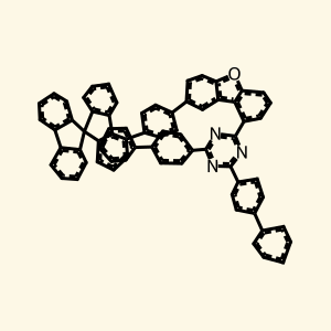 c1ccc(-c2ccc(-c3nc(-c4ccc(-c5ccccc5)cc4)nc(-c4cccc5oc6ccc(-c7ccc(-c8cccc9c8-c8ccccc8C98c9ccccc9-c9ccccc98)cc7)cc6c45)n3)cc2)cc1